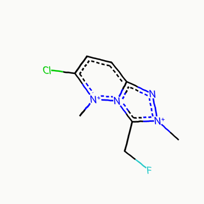 C[n+]1nc2ccc(Cl)[n+](C)n2c1CF